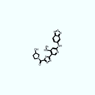 CC(C)Nc1cc(Nc2ccc3nsnc3c2)ncc1-c1nnc(C(=O)N2CCC(O)C2)s1